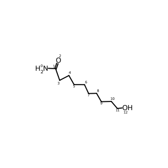 NC(=O)CCCCCCCCCO